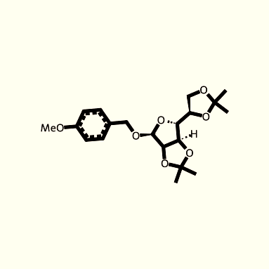 COc1ccc(CO[C@H]2O[C@H]([C@H]3COC(C)(C)O3)[C@H]3OC(C)(C)OC23)cc1